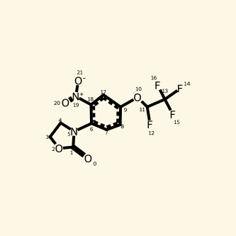 O=C1OCCN1c1ccc(OC(F)C(F)(F)F)cc1[N+](=O)[O-]